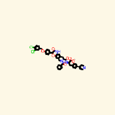 COC(=O)C(Cc1ccc(-c2ccncc2)cc1)NC(=O)C1Cc2cc3c(cc2CN1C(=O)c1ccccc1)OC(c1ccc(OCc2ccc(Cl)c(Cl)c2)cc1)C(=O)N3